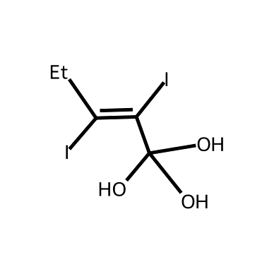 CC/C(I)=C(\I)C(O)(O)O